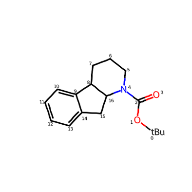 CC(C)(C)OC(=O)N1CCCC2c3ccccc3CC21